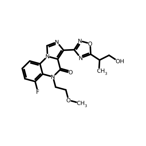 COCCn1c(=O)c2c(-c3noc(C(C)CO)n3)ncn2c2cccc(F)c21